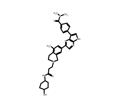 Cc1cc(-c2cnc3[nH]cc(-c4ccc(C(=O)N(C)C)cc4)c3n2)cc2c1CCN(CCC(=O)NC1CCC(O)CC1)C2